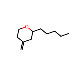 C=C1CCOC(CCCCC)C1